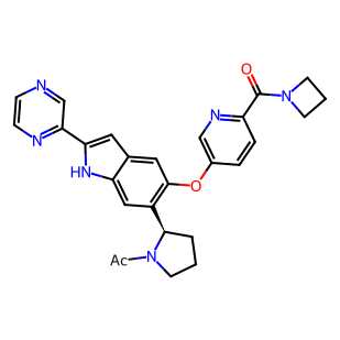 CC(=O)N1CCC[C@@H]1c1cc2[nH]c(-c3cnccn3)cc2cc1Oc1ccc(C(=O)N2CCC2)nc1